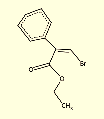 CCOC(=O)C(=CBr)c1ccccc1